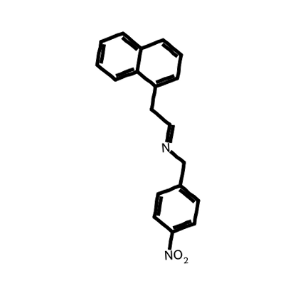 O=[N+]([O-])c1ccc(CN=CCc2cccc3ccccc23)cc1